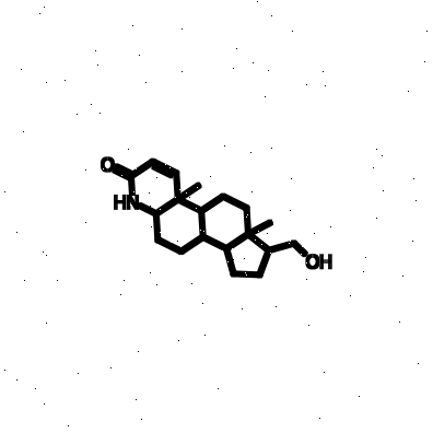 CC12C=CC(=O)NC1CCC1C2CCC2(C)C(CO)CCC12